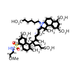 C=C(/C=C/C=C1/N(CCCCCC(=O)O)c2ccc3c(S(=O)(=O)O)cc(S(=O)(=O)O)cc3c2C1(C)C)C(C)(CCCS(=O)(=O)O)c1c(C)ccc2c(S(=O)(=O)NCCOC)cc(S(=O)(=O)O)cc12